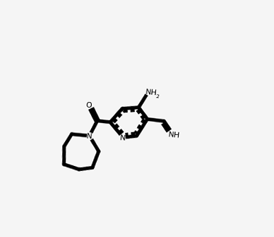 N=Cc1cnc(C(=O)N2CCCCCC2)cc1N